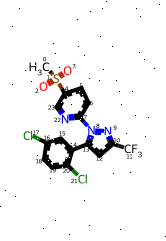 CS(=O)(=O)c1ccc(-n2nc(C(F)(F)F)cc2-c2cc(Cl)ccc2Cl)nc1